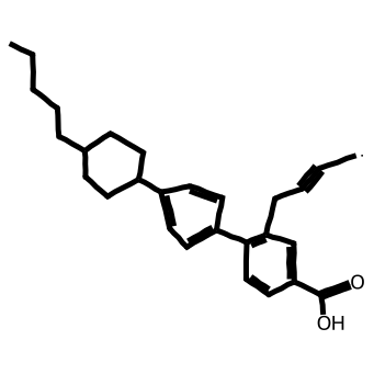 [CH2]C#CCc1cc(C(=O)O)ccc1-c1ccc(C2CCC(CCCCC)CC2)cc1